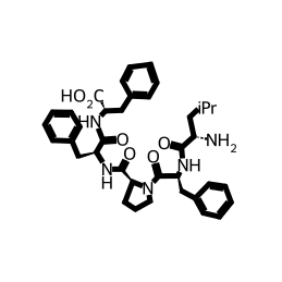 CC(C)C[C@H](N)C(=O)N[C@@H](Cc1ccccc1)C(=O)N1CCC[C@H]1C(=O)N[C@@H](Cc1ccccc1)C(=O)N[C@@H](Cc1ccccc1)C(=O)O